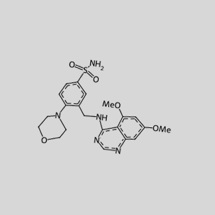 COc1cc(OC)c2c(NCc3cc(S(N)(=O)=O)ccc3N3CCOCC3)ncnc2c1